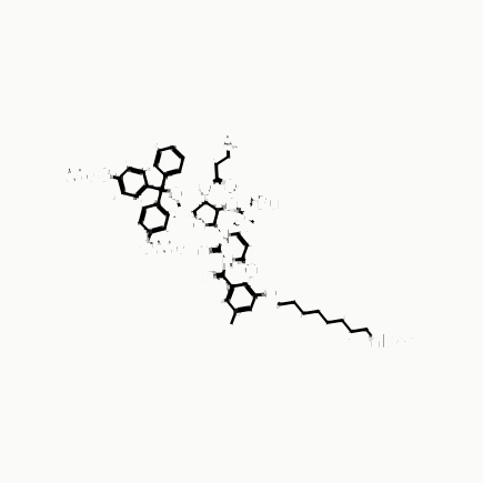 CCCCCCCCCCCCCCCCCCOc1cc(C)cc(C(=O)n2c(=O)ccn([C@@H]3O[C@H](COC(c4ccccc4)(c4ccc(OC)cc4)c4ccc(OC)cc4)[C@H](OC(=O)CCC(C)=O)C3O[Si](C)(C)C(C)(C)C)c2=O)c1